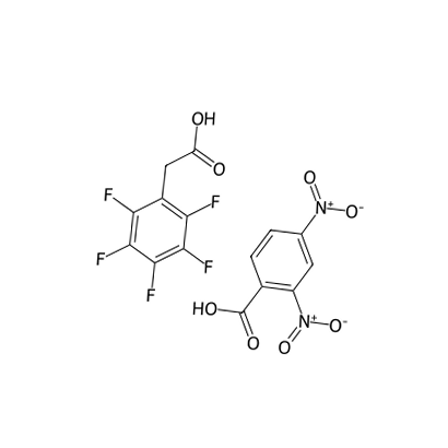 O=C(O)Cc1c(F)c(F)c(F)c(F)c1F.O=C(O)c1ccc([N+](=O)[O-])cc1[N+](=O)[O-]